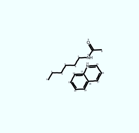 CCCCCCNC(C)=O.c1ccc2ncccc2c1